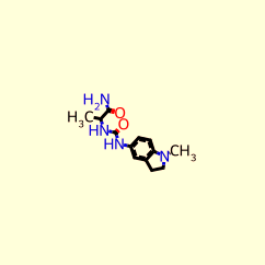 CC(NC(=O)Nc1ccc2c(c1)CCN2C)C(N)=O